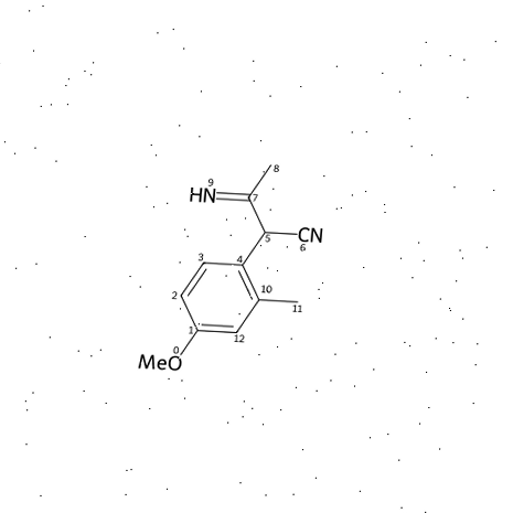 COc1ccc(C(C#N)C(C)=N)c(C)c1